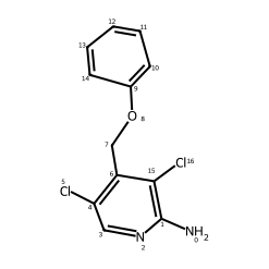 Nc1ncc(Cl)c(COc2ccccc2)c1Cl